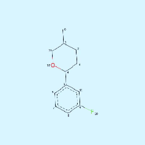 CC1CCC(c2cccc(F)c2)OC1